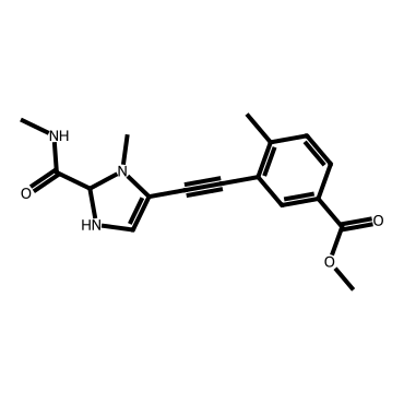 CNC(=O)C1NC=C(C#Cc2cc(C(=O)OC)ccc2C)N1C